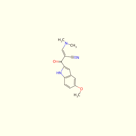 COc1ccc2[nH]c(C(=O)C(C#N)=CN(C)C)cc2c1